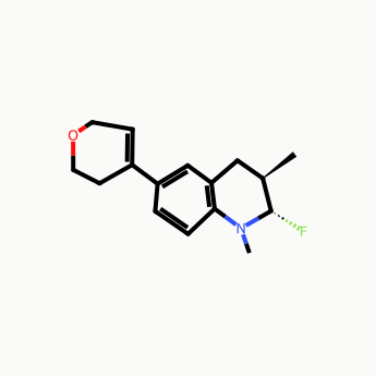 C[C@@H]1Cc2cc(C3=CCOCC3)ccc2N(C)[C@H]1F